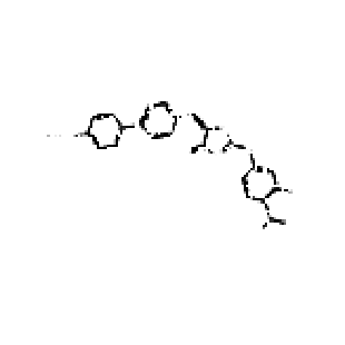 COc1ccc(-c2ccc(C=C3SC(Nc4ccc(C(F)C(=O)O)c(F)c4)=NC3=O)cc2)cc1